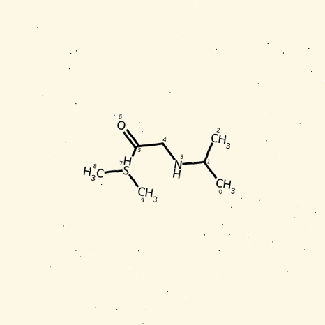 CC(C)NCC(=O)[SH](C)C